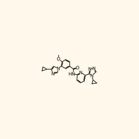 COc1ccc(C(=O)Nc2cccc(-c3nncn3C3CC3)n2)cc1-n1cnc(C2CC2)c1